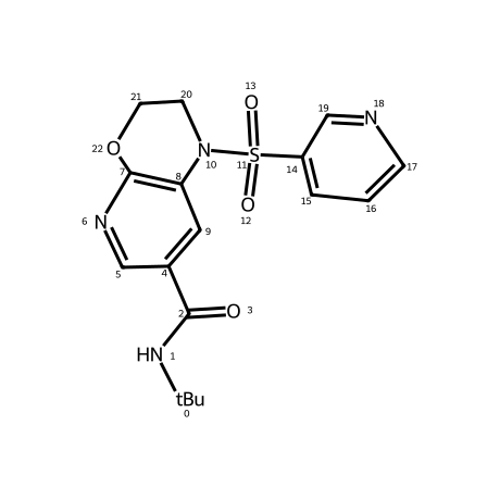 CC(C)(C)NC(=O)c1cnc2c(c1)N(S(=O)(=O)c1cccnc1)CCO2